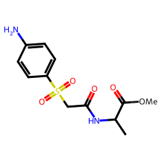 COC(=O)C(C)NC(=O)CS(=O)(=O)c1ccc(N)cc1